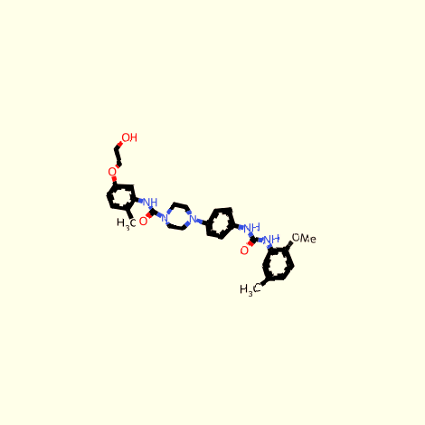 COc1ccc(C)cc1NC(=O)Nc1ccc(N2CCN(C(=O)Nc3cc(OCCO)ccc3C)CC2)cc1